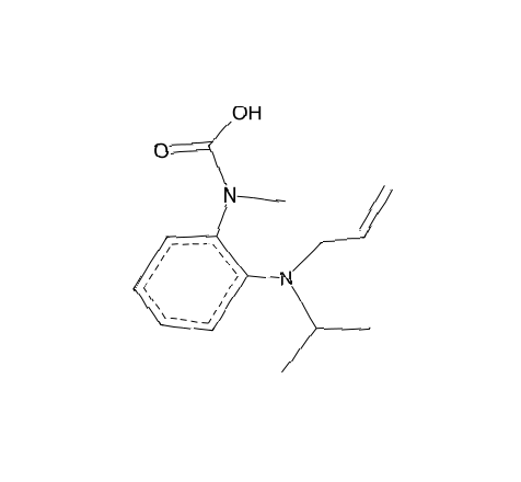 C=CCN(c1ccccc1N(C)C(=O)O)C(C)C